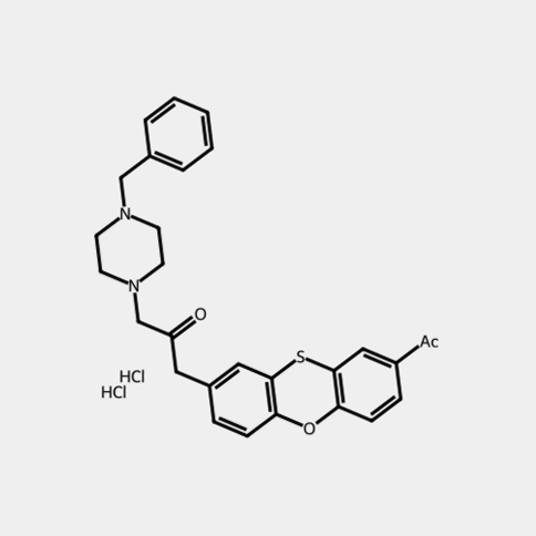 CC(=O)c1ccc2c(c1)Sc1cc(CC(=O)CN3CCN(Cc4ccccc4)CC3)ccc1O2.Cl.Cl